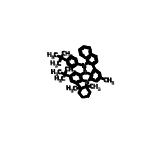 Cc1cc2c3c(c1)N1c4c(cc(C(C)(C)C)cc4C4(C)CCCCC14C)B3N(c1ccc(C(C)(C)C)cc1)c1c-2ccc2ccccc12